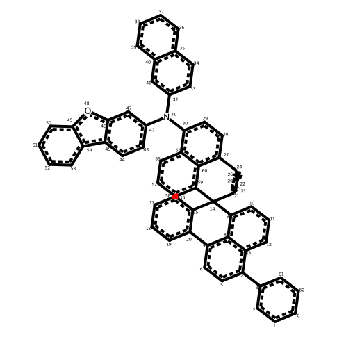 c1ccc(-c2ccc3c4c(cccc24)C2(c4ccccc4-3)c3ccccc3-c3ccc(N(c4ccc5ccccc5c4)c4ccc5c(c4)oc4ccccc45)c4cccc2c34)cc1